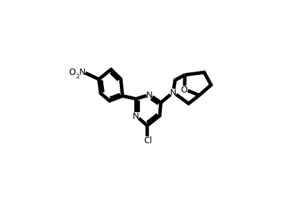 O=[N+]([O-])c1ccc(-c2nc(Cl)cc(N3CC4CCC(C3)O4)n2)cc1